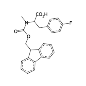 CN(C(=O)OCC1c2ccccc2-c2ccccc21)C(Cc1ccc(F)cc1)C(=O)O